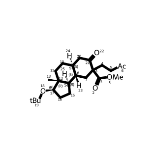 COC(=O)C1(CCC(C)=O)C[C@H]2[C@@H](CC[C@]3(C)[C@@H]2CC[C@H]3OC(C)(C)C)CC1=O